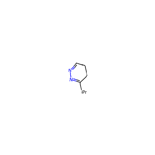 CC(C)C1=NN=CCC1